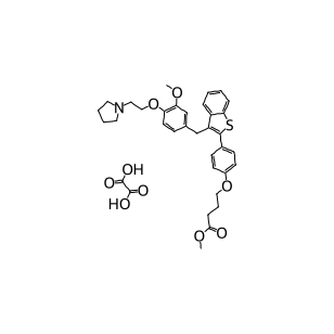 COC(=O)CCCOc1ccc(-c2sc3ccccc3c2Cc2ccc(OCCN3CCCC3)c(OC)c2)cc1.O=C(O)C(=O)O